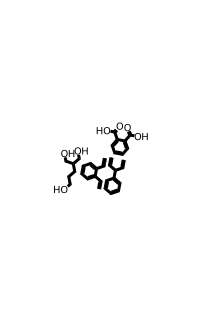 C=CC(C=C)c1ccccc1.C=Cc1ccccc1C=C.O=C(O)c1ccccc1C(=O)O.OCCCC(CO)CO